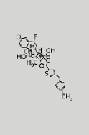 Cc1ccc(Cc2csc([C@@H]3O[C@@H]4C[C@H]5[C@@H]6C[C@H](F)C7=CC(=O)C=C[C@]7(C)[C@@]6(F)[C@@H](O)C[C@]5(C)[C@]4(C(=O)CO)O3)c2)cc1